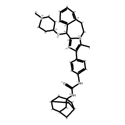 Cc1c(-c2ccc(NC(=O)NC34CC5CC(CC(C5)C3)C4)cc2)nc2n1CCc1ccccc1C2OC1CCN(C)CC1